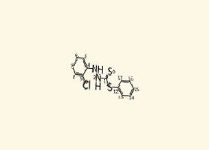 S=C(NNc1ccccc1Cl)Sc1ccccc1